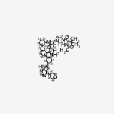 C=C(CN1CCN(C(=O)[C@H](NC(C)=O)C(C)C)CC1)C(=O)N[C@@H]1CCCN(Cc2ccnc(C(=O)Nc3ccc(-c4cc5c(N6CCOCC6)ncnc5[nH]4)cc3)c2)C1